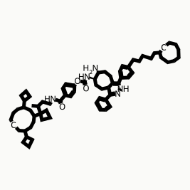 CC(CCNC(=O)c1ccc(OC(=O)N[C@@H]2CCC3C(c4ccccc4)=NNC(c4ccc(CCCCCC5CCCCCCCC5)cc4)=C3CC[C@@H]2N)cc1)C1(C2CCC(C3CCC3)CCCCCC(C3CCC3)C2)CCC1